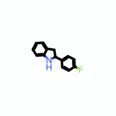 Fc1ccc(C2Cc3ccccc3N2)cc1